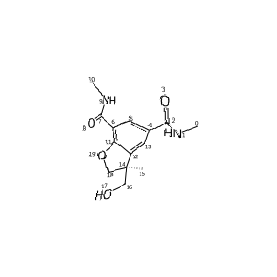 CNC(=O)c1cc(C(=O)NC)c2c(c1)[C@@](C)(CO)CO2